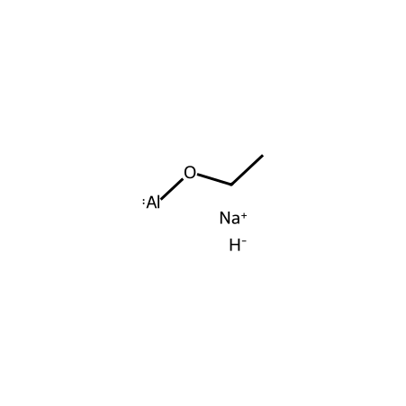 CC[O][Al].[H-].[Na+]